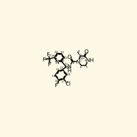 C[C@H]1C(=O)NCCN1C(=O)N[C@H](c1ccc(F)c(Cl)c1)c1cccc(C(F)(F)F)n1